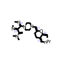 C=C(C(=N/C)/C(=N\C)N1CCN(/C=C2\CCC(=C/CCC)/C(=C\C)O2)CC1)N(C)C